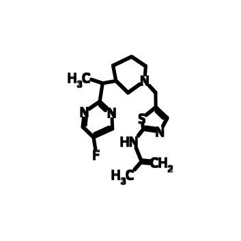 C=C(C)Nc1ncc(CN2CCCC(C(C)c3ncc(F)cn3)C2)s1